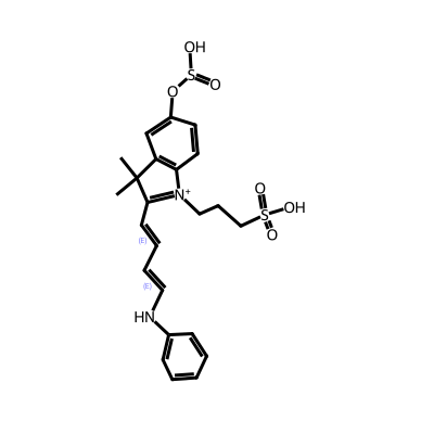 CC1(C)C(/C=C/C=C/Nc2ccccc2)=[N+](CCCS(=O)(=O)O)c2ccc(OS(=O)O)cc21